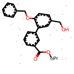 CCCOC(=O)c1cccc(-c2cc(CO)ccc2OCc2ccccc2)c1